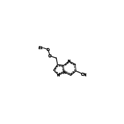 CCOOCc1cnn2cc(C#N)cnc12